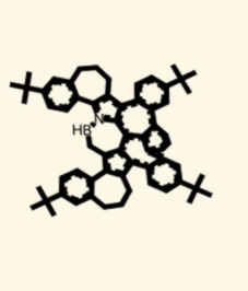 CC(C)(C)c1ccc2c(c1)CCCc1c-2c2c3c1c1ccc(C(C)(C)C)cc1c1cccc4c5cc(C(C)(C)C)ccc5c5c6c(n(c5c3c14)BC2)-c1ccc(C(C)(C)C)cc1CCC6